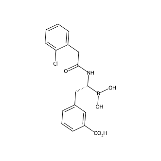 O=C(Cc1ccccc1Cl)N[C@@H](Cc1cccc(C(=O)O)c1)B(O)O